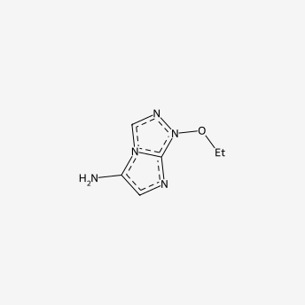 CCOn1ncn2c(N)cnc12